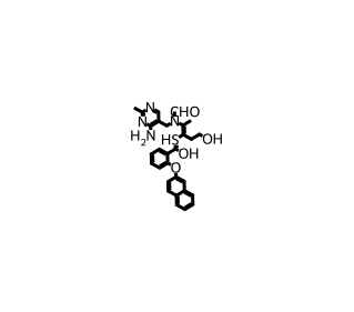 C/C(=C(CCO)/[SH]=C(\O)c1ccccc1Oc1ccc2ccccc2c1)N(C=O)Cc1cnc(C)nc1N